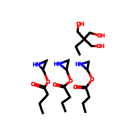 CCC(CO)(CO)CO.CCCC(=O)OC1CN1.CCCC(=O)OC1CN1.CCCC(=O)OC1CN1